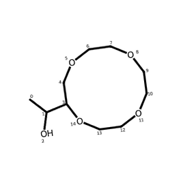 CC(O)C1COCCOCCOCCO1